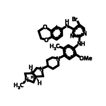 COc1cc(N2CCC(N3C[C@H]4CN(C)C[C@H]4C3)CC2)c(C)cc1Nc1ncc(Br)c(Nc2[c]c3c(cc2)OCCO3)n1